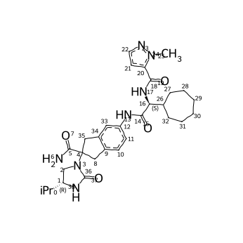 CC(C)[C@@H]1CN(C2(C(N)=O)Cc3ccc(NC(=O)[C@@H](NC(=O)c4ccnn4C)C4CCCCCC4)cc3C2)C(=O)N1